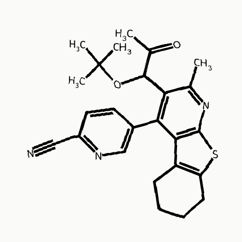 CC(=O)C(OC(C)(C)C)c1c(C)nc2sc3c(c2c1-c1ccc(C#N)nc1)CCCC3